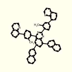 Cc1cc(-c2cccc3cccnc23)ccc1-c1nc(-c2ccc(-c3cccc4cccnc34)cc2C)c2cc(-c3ccc4ccccc4c3)cc(-c3ccc4ccccc4c3)c2n1